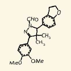 COc1ccc(C2=NN(C=O)C(c3ccc4c(c3)CCO4)C2(C)C)cc1OC